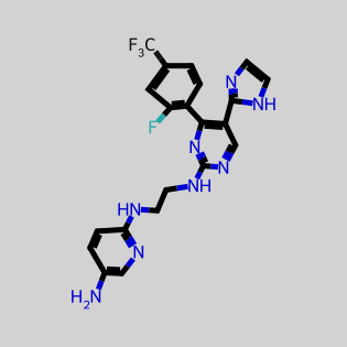 Nc1ccc(NCCNc2ncc(-c3ncc[nH]3)c(-c3ccc(C(F)(F)F)cc3F)n2)nc1